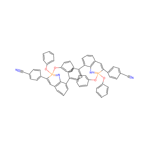 N#Cc1ccc(C2=Cc3cccc(-c4ccc(-c5cccc6c5N=P(Oc5ccccc5)(Oc5ccccc5)C(c5ccc(C#N)cc5)=C6)cc4)c3N=P2(Oc2ccccc2)Oc2ccccc2)cc1